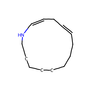 C1=CCCCCCCCCNC=CC1